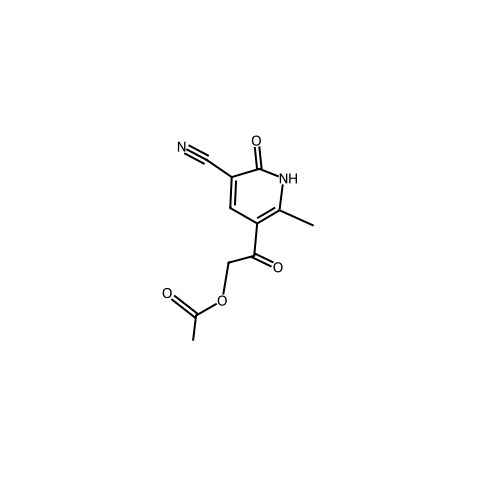 CC(=O)OCC(=O)c1cc(C#N)c(=O)[nH]c1C